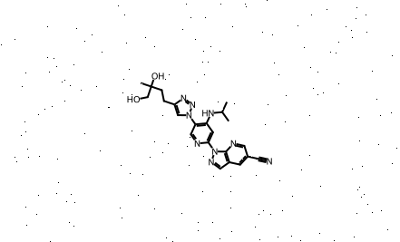 CC(C)Nc1cc(-n2ncc3cc(C#N)cnc32)ncc1-n1cc(CCC(C)(O)CO)nn1